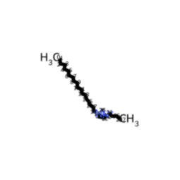 CCCCCCCCCCCCCCCCCCCn1cc[n+](CCCCC)c1